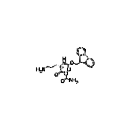 NCCC[C@H](NC(=O)OCC1c2ccccc2-c2ccccc21)C(=O)OC(N)=O